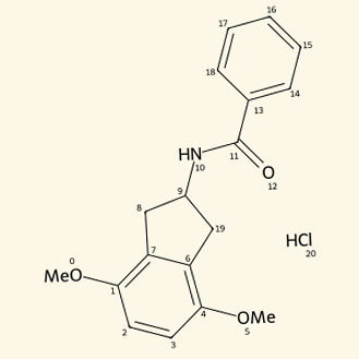 COc1ccc(OC)c2c1CC(NC(=O)c1ccccc1)C2.Cl